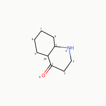 O=C1CCNC2CCCCC12